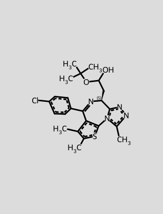 Cc1sc2c(c1C)C(c1ccc(Cl)cc1)=N[C@@H](CC(O)OC(C)(C)C)c1nnc(C)n1-2